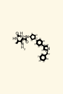 C=C1NC(=O)NC(C(=O)N[C@@H]2CC[C@H](c3ccc(-c4cnn(Cc5ccccc5)c4)cc3)C2)=C1N